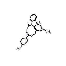 CC1CCC(/C2=N/CC(=O)N(c3ccccc3)C3=C(CO2)CN(C)CN3C)CC1